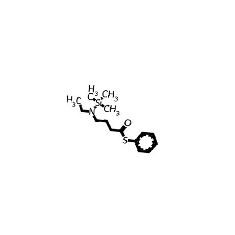 CCN(CCCC(=O)Sc1ccccc1)[Si](C)(C)C